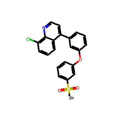 CC(C)S(=O)(=O)c1cccc(Oc2cccc(-c3ccnc4c(Cl)cccc34)c2)c1